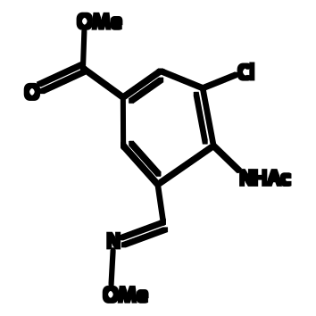 CO/N=C/c1cc(C(=O)OC)cc(Cl)c1NC(C)=O